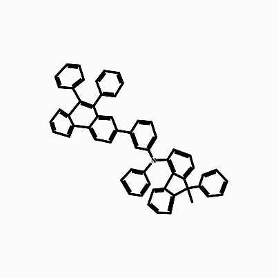 CC1(c2ccccc2)c2ccccc2-c2c(N(c3ccccc3)c3cccc(-c4ccc5c(c4)c(-c4ccccc4)c(-c4ccccc4)c4ccccc45)c3)cccc21